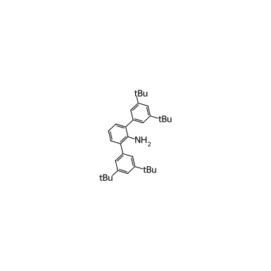 CC(C)(C)c1cc(-c2cccc(-c3cc(C(C)(C)C)cc(C(C)(C)C)c3)c2N)cc(C(C)(C)C)c1